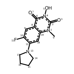 Cn1c(=O)n(O)c(=O)c2cc(F)c(N3CCCC3)cc21